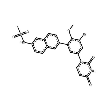 COc1c(Br)cc(-n2ccc(=O)[nH]c2=O)cc1-c1ccc2cc(NS(C)(=O)=O)ccc2c1